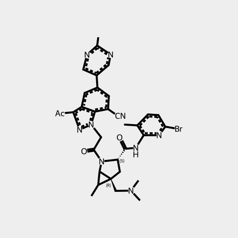 CC(=O)c1nn(CC(=O)N2C3C(C)[C@@]3(CN(C)C)C[C@H]2C(=O)Nc2nc(Br)ccc2C)c2c(C#N)cc(-c3cnc(C)nc3)cc12